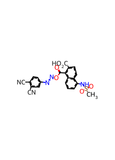 CS(=O)(=O)Nc1cccc2c(C(=O)ON=Nc3ccc(C#N)c(C#N)c3)c(C(=O)O)ccc12